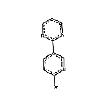 Brc1ccc(-c2ncccn2)cn1